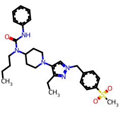 CCCCN(C(=O)Nc1ccccc1)C1CCN(c2cn(Cc3ccc(S(C)(=O)=O)cc3)nc2CC)CC1